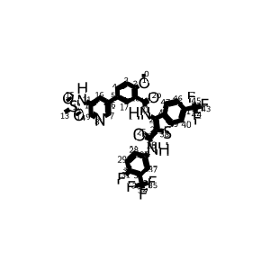 COc1ccc(-c2cncc(NS(C)(=O)=O)c2)cc1C(=O)Nc1c(C(=O)Nc2ccc(F)c(C(F)(F)F)c2)sc2cc(C(F)(F)F)ccc12